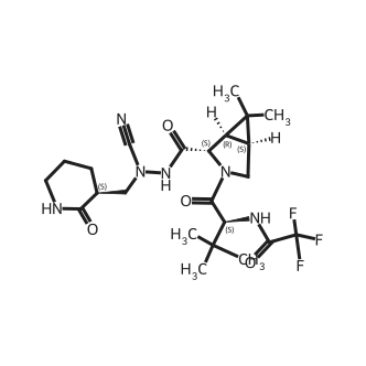 CC(C)(C)[C@H](NC(=O)C(F)(F)F)C(=O)N1C[C@H]2[C@@H]([C@H]1C(=O)NN(C#N)C[C@@H]1CCCNC1=O)C2(C)C